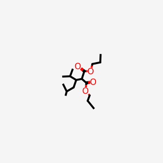 CCCOC(=O)C(C(=O)OCCC)C(CC(C)C)C(C)C